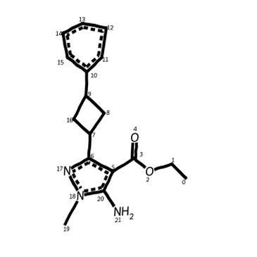 CCOC(=O)c1c(C2CC(c3ccccc3)C2)nn(C)c1N